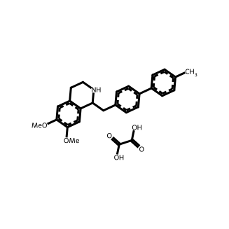 COc1cc2c(cc1OC)C(Cc1ccc(-c3ccc(C)cc3)cc1)NCC2.O=C(O)C(=O)O